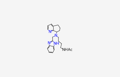 CC(=O)NCCCCN(Cc1nc2ccccc2[nH]1)C1CCCc2cccnc21